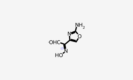 Nc1nc(/C([C]=O)=N/O)co1